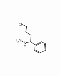 NNC(CCCCl)c1ccccc1